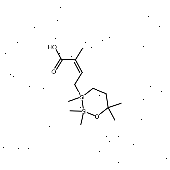 CC(=CC[Si]1(C)CCC(C)(C)O[Si]1(C)C)C(=O)O